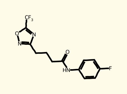 O=C(CCCc1noc(C(F)(F)F)n1)Nc1ccc(F)cc1